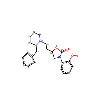 COc1ccccc1N1CC(CCN2CCCCC2Cc2ccccc2)OC1=O